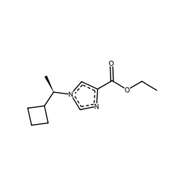 CCOC(=O)c1cn([C@H](C)C2CCC2)cn1